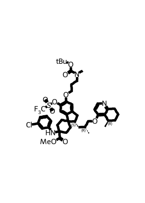 COC(=O)C1(Nc2cccc(Cl)c2)CCC2(CC1)c1cc(OS(=O)(=O)C(F)(F)F)c(OCCCN(C)C(=O)OC(C)(C)C)cc1C[C@@H]2C[C@@H](C)COc1ccnc2c1[C@H](C)CCC2